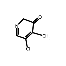 CC1=C(Cl)C=NCC1=O